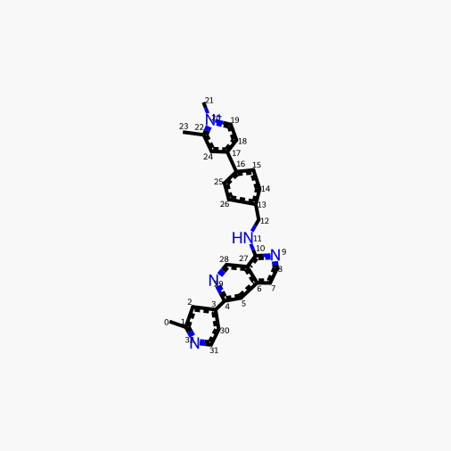 Cc1cc(-c2cc3ccnc(NCc4ccc(-c5cc[n+](C)c(C)c5)cc4)c3cn2)ccn1